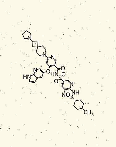 C[C@H]1CC[C@@H](CNc2ncc(S(=O)(=O)NC(=O)c3cnc(N4CCC5(CC4)CC(N4CCCC4)C5)cc3Oc3cnc4[nH]ccc4c3)cc2[N+](=O)[O-])CC1